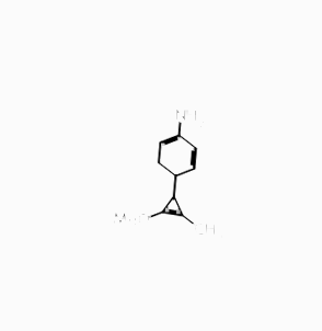 COC1=C(C)C1C1C=CC(N)=CC1